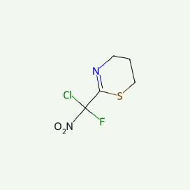 O=[N+]([O-])C(F)(Cl)C1=NCCCS1